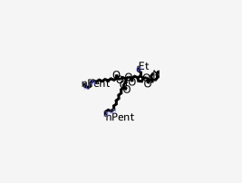 CC/C=C\CC1C(CC(=O)OC(COC(=O)CCCCCCC/C=C\C/C=C\CCCCC)COC(=O)CCCCCCC/C=C\C/C=C\CCCCC)CCC1OC(=O)C1(C)CCN(C)CC1